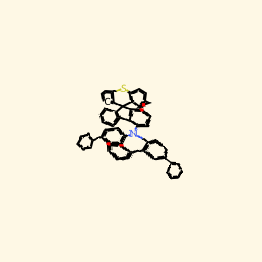 c1ccc(-c2ccc(N(c3ccc(-c4ccccc4)cc3-c3ccccc3)c3cccc4c3-c3ccccc3C43c4ccccc4Sc4ccc5ccccc5c43)cc2)cc1